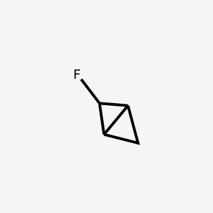 FC1C2CC12